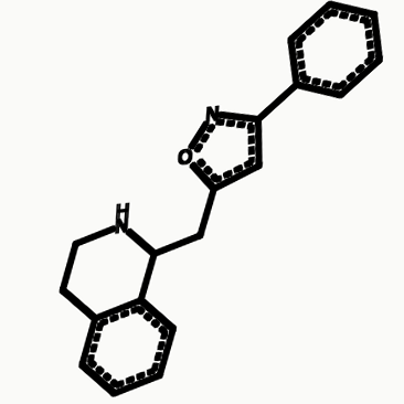 c1ccc(-c2cc(CC3NCCc4ccccc43)on2)cc1